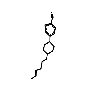 CC=CCCC[C@H]1CC[C@H](c2ccc(C#N)cc2)CC1